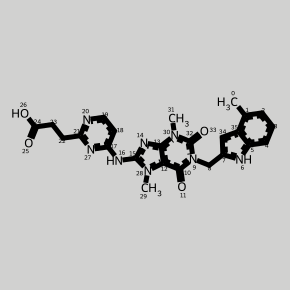 Cc1cccc2[nH]c(Cn3c(=O)c4c(nc(Nc5ccnc(CCC(=O)O)n5)n4C)n(C)c3=O)cc12